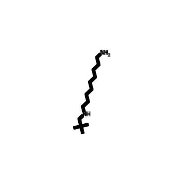 CC(C)(C)CNCCCCCCCCCN